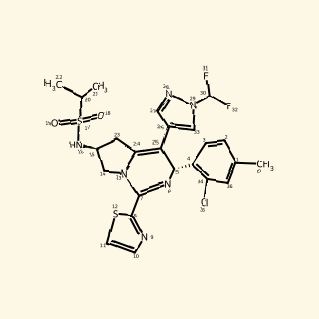 Cc1ccc([C@@H]2N=C(c3nccs3)N3C[C@@H](NS(=O)(=O)C(C)C)CC3=C2c2cnn(C(F)F)c2)c(Cl)c1